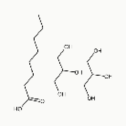 CCCCCCCC(=O)O.OCC(O)CO.OCC(O)CO